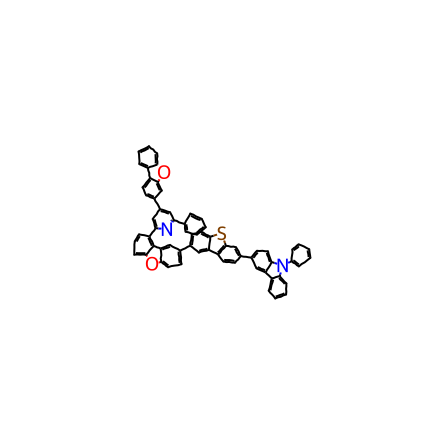 c1ccc(-c2cc(-c3ccc4c(c3)oc3ccccc34)cc(-c3cccc4oc5ccc(-c6ccc7sc8cc(-c9ccc%10c(c9)c9ccccc9n%10-c9ccccc9)ccc8c7c6)cc5c34)n2)cc1